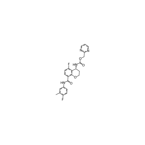 Cc1cc(NC(=O)c2ccc(F)c3c2OCC[C@@H]3NC(=O)OCc2ncccn2)ccc1F